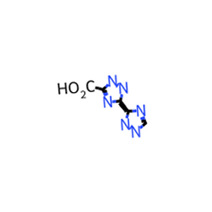 O=C(O)C1=NC(=C2N=CN=N2)N=N1